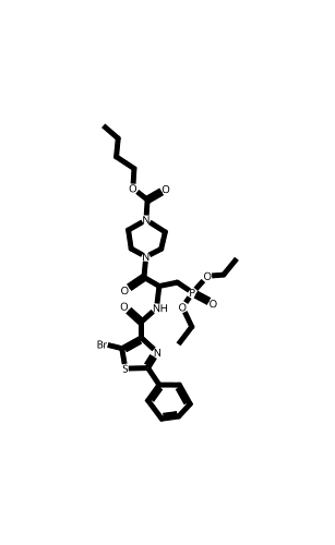 CCCCOC(=O)N1CCN(C(=O)C(CP(=O)(OCC)OCC)NC(=O)c2nc(-c3ccccc3)sc2Br)CC1